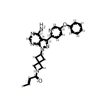 C/C=C/C(=O)N1CC2(CC(n3nc(-c4ccc(Oc5ccccc5)cn4)c4c(N)ncnc43)C2)C1